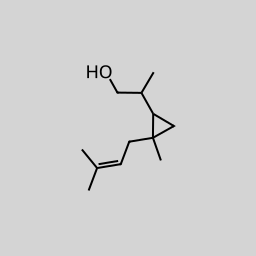 CC(C)=CCC1(C)CC1C(C)CO